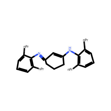 CCCc1cccc(CCC)c1/N=C1/C=C(Nc2c(CCC)cccc2CCC)CCC1